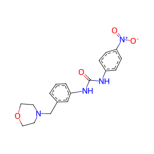 O=C(Nc1ccc([N+](=O)[O-])cc1)Nc1cccc(CN2CCOCC2)c1